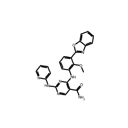 COc1c(Nc2nc(Nc3ccccn3)ncc2C(N)=O)cccc1-c1nc2ccccc2o1